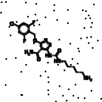 NCCCCCNC(=O)Nc1snc(OCc2c(F)cc(Cl)cc2F)c1C(N)=O